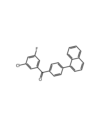 O=C(c1ccc(-c2cccc3ccccc23)cc1)c1cc(F)cc(Cl)c1